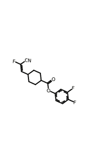 N#C/C(F)=C\C1CCC(C(=O)Oc2ccc(F)c(F)c2)CC1